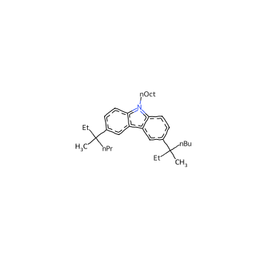 CCCCCCCCn1c2ccc(C(C)(CC)CCC)cc2c2cc(C(C)(CC)CCCC)ccc21